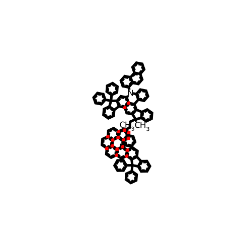 CC1(CCC2(C)c3ccccc3-c3c(-c4ccccc4N(c4ccc5c(c4)C(c4ccccc4)(c4ccccc4)c4ccccc4-5)c4cccc5c4ccc4ccccc45)cccc32)c2ccccc2-c2c(-c3ccccc3N(c3ccc4c(c3)C(c3ccccc3)(c3ccccc3)c3ccccc3-4)c3ccccc3-c3ccccc3-c3ccccc3-c3ccccc3)cccc21